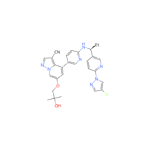 CC[C@H](Nc1ccc(-c2cc(OCC(C)(C)O)cn3ncc(C#N)c23)cn1)c1ccc(-n2cc(F)cn2)nc1